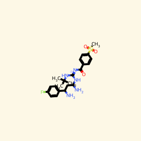 CC(C)(C)N/C(=N/C(=O)c1ccc(S(C)(=O)=O)cc1)NC(N)CC(N)c1ccc(F)cc1